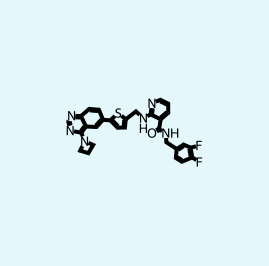 O=C(NCc1ccc(F)c(F)c1)c1cccnc1NCc1ccc(-c2ccc3ncnc(N4CCC4)c3c2)s1